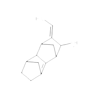 CC=C1C(C)C2CC1C1C2=C2CCC1C2